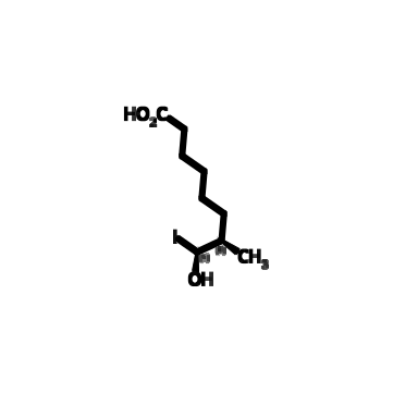 C[C@H](CCCCCC(=O)O)[C@@H](O)I